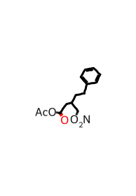 CC(=O)OC(=O)CC(CCc1ccccc1)C[N+](=O)[O-]